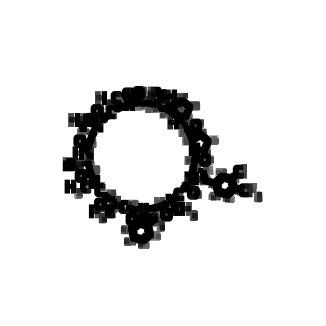 CC[C@H](C)[C@@H]1NC(=O)[C@H](CC(C)C)N(C)C(=O)C[C@@H](C)N(C)C(=O)[C@H](C(C)C)N(C)C(=O)C2(CCCC2)NC(=O)[C@@H]2CCCN2C(=O)[C@H](CCc2ccc(C(F)(F)F)c(Cl)c2)NC(=O)CN(C)C(=O)[C@H](Cc2ccccc2)N(C)C(=O)CN(C)C(=O)CN(C)C1=O